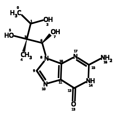 CC(O)[C@](C)(O)[C@@H](O)n1cnc2c(=O)[nH]c(N)nc21